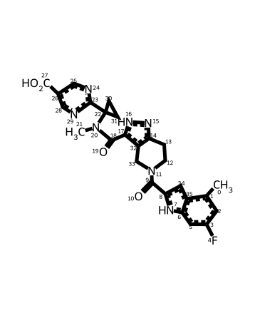 Cc1cc(F)cc2[nH]c(C(=O)N3CCc4n[nH]c(C(=O)N(C)C5(c6ncc(C(=O)O)cn6)CC5)c4C3)cc12